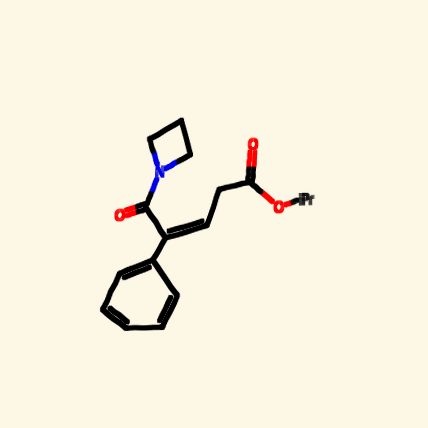 CC(C)OC(=O)CC=C(C(=O)N1CCC1)c1ccccc1